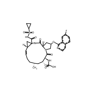 C[C@@H]1CC/C=C\[C@@H]2CC2(C(=O)NS(=O)(=O)C2CC2)NC(=O)[C@@H]2C[C@@H](Oc3nccc4ccc(F)cc34)CN2C(=O)[C@@H](NC(=O)O)[C@H](C)C1